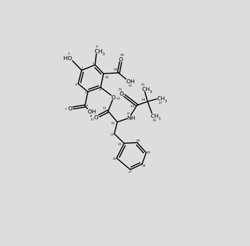 Cc1c(O)cc(C(=O)O)c(OC(=O)C(Cc2ccccc2)NC(=O)C(C)(C)C)c1C(=O)O